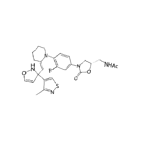 CC(=O)NC[C@H]1CN(c2ccc(N3CCCCC3=CC3(c4csnc4C)C=CON3)c(F)c2)C(=O)O1